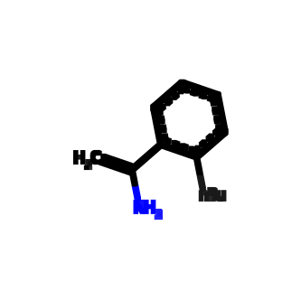 C=C(N)c1ccccc1CCCC